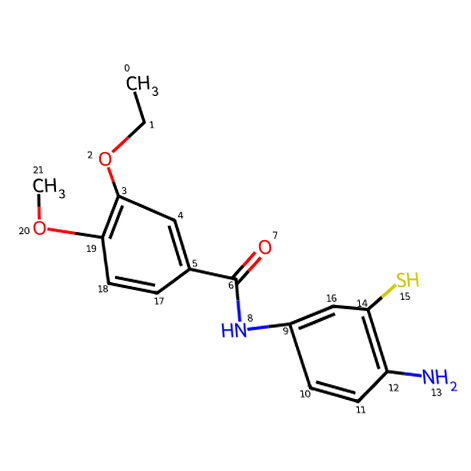 CCOc1cc(C(=O)Nc2ccc(N)c(S)c2)ccc1OC